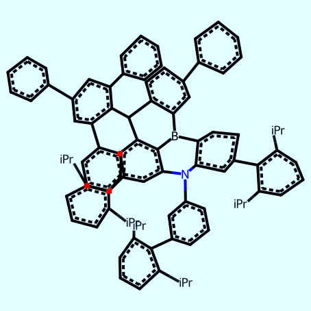 CC(C)c1cccc(C(C)C)c1-c1cccc(N2c3cc(-c4c(C(C)C)cccc4C(C)C)ccc3B3c4cc(-c5ccccc5)ccc4C(c4c(-c5ccccc5)cc(-c5ccccc5)cc4-c4ccccc4)c4cc(-c5c(C(C)C)cccc5C(C)C)cc2c43)c1